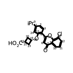 CC(C)c1ccc(-c2cc(=O)c3cccc(Cl)c3o2)c(O[C@H]2C[C@@H](C(=O)O)C2)c1